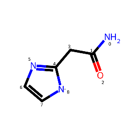 NC(=O)CC1=NC=C[N]1